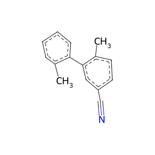 Cc1ccccc1-c1cc(C#N)ccc1C